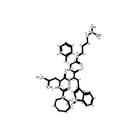 CC(C)CC(NC(=O)N1CCCCCC1)C(=O)NC(Cc1cn(C)c2ccccc12)C(=O)N[C@H](Cc1ccccn1)C(=O)OCCCON(O)O